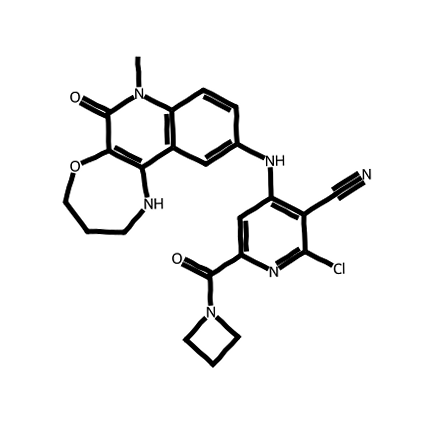 Cn1c(=O)c2c(c3cc(Nc4cc(C(=O)N5CCC5)nc(Cl)c4C#N)ccc31)NCCCO2